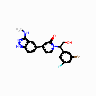 CNc1n[nH]c2ccc(-c3ccn(C(CO)c4cc(F)cc(Br)c4)c(=O)c3)cc12